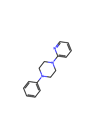 [c]1cccc(N2CCN(c3ccccn3)CC2)c1